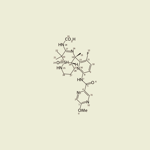 COc1cnc(C(=O)Nc2ccc(F)c([C@@]3(C)N=C(NC(=O)O)C(C)(C)[SH]4(=O)NCCC[C@@H]34)n2)cn1